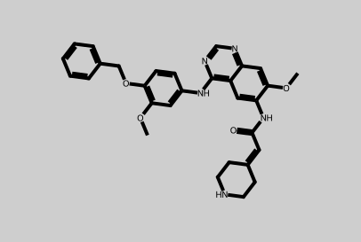 COc1cc2ncnc(Nc3ccc(OCc4ccccc4)c(OC)c3)c2cc1NC(=O)C=C1CCNCC1